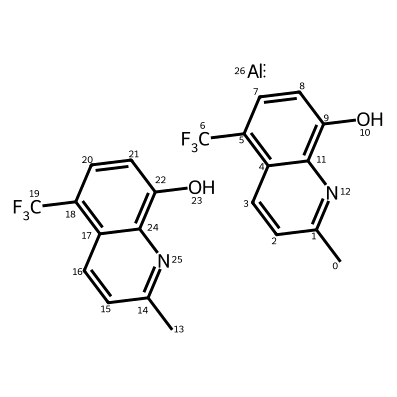 Cc1ccc2c(C(F)(F)F)ccc(O)c2n1.Cc1ccc2c(C(F)(F)F)ccc(O)c2n1.[Al]